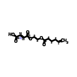 C=CCCCC(=O)OCCOC(=O)/C=C/C(=O)O